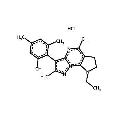 CCN1CCc2c(C)nc3c(-c4c(C)cc(C)cc4C)c(C)nn3c21.Cl